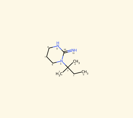 CCC(C)(C)N1CCCNC1=N